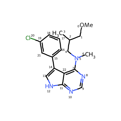 COCC(C)CN(C)c1ncnc2[nH]cc(-c3cccc(Cl)c3)c12